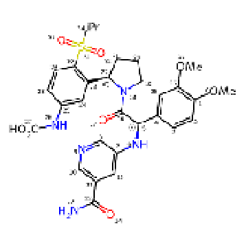 COc1ccc([C@@H](Nc2cncc(C(N)=O)c2)C(=O)N2CCC[C@@H]2c2cc(NC(=O)O)ccc2S(=O)(=O)C(C)C)cc1OC